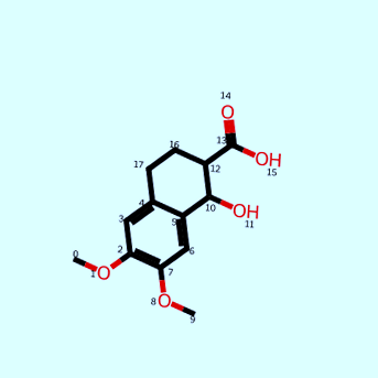 COc1cc2c(cc1OC)C(O)C(C(=O)O)CC2